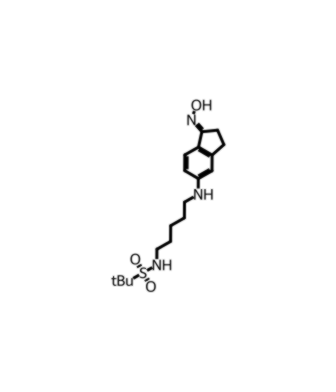 CC(C)(C)S(=O)(=O)NCCCCCNc1ccc2c(c1)CC/C2=N\O